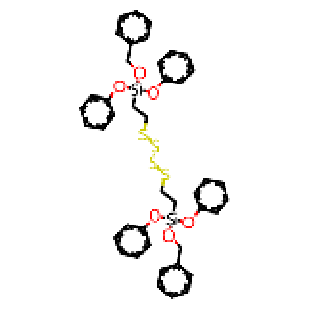 c1ccc(CO[Si](CCSSSSCC[Si](OCc2ccccc2)(Oc2ccccc2)Oc2ccccc2)(Oc2ccccc2)Oc2ccccc2)cc1